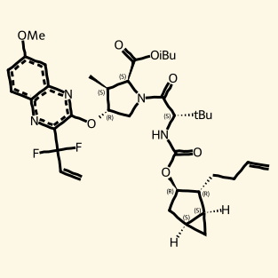 C=CCC[C@@H]1[C@H]2C[C@H]2C[C@H]1OC(=O)N[C@H](C(=O)N1C[C@H](Oc2nc3cc(OC)ccc3nc2C(F)(F)C=C)[C@@H](C)[C@H]1C(=O)OCC(C)C)C(C)(C)C